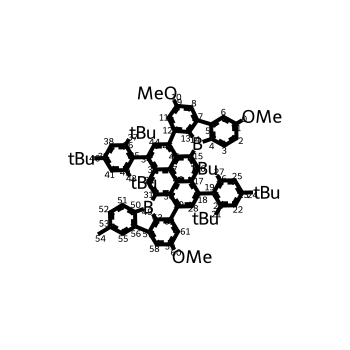 COc1ccc2c(c1)-c1cc(OC)cc3c1B2c1cc2c(-c4c(C(C)(C)C)cc(C(C)(C)C)cc4C(C)(C)C)cc4c5c(cc6c(-c7c(C(C)(C)C)cc(C(C)(C)C)cc7C(C)(C)C)cc-3c1c6c25)B1c2ccc(C)cc2-c2cc(OC)cc-4c21